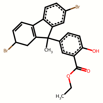 CCOC(=O)c1cc(C2(C)C3=C(C=CC(Br)C3)c3ccc(Br)cc32)ccc1O